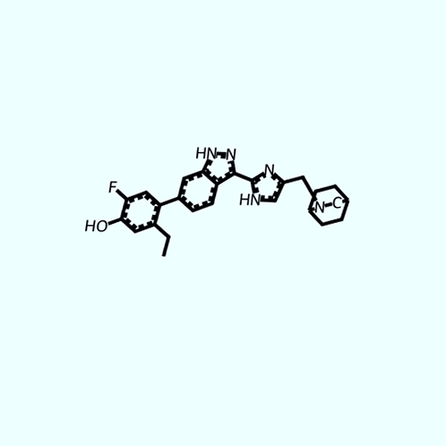 CCc1cc(O)c(F)cc1-c1ccc2c(-c3nc(CN4CC5CCC4CC5)c[nH]3)n[nH]c2c1